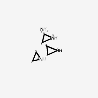 C1CN1.C1CN1.C1CN1.N